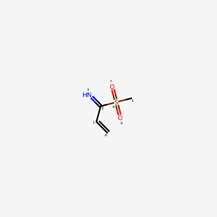 C=CC(=N)S(C)(=O)=O